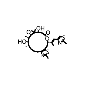 CC(=Cc1csc(C)n1)[C@@H]1Cc2sc(C)nc2CCC[C@H](C)[C@H](O)[C@@H](C)C(=O)C(C)(C)[C@@H](O)CC(=O)O1